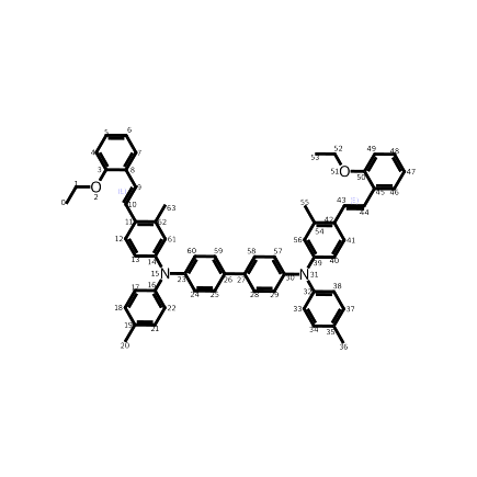 CCOc1ccccc1/C=C/c1ccc(N(c2ccc(C)cc2)c2ccc(-c3ccc(N(c4ccc(C)cc4)c4ccc(/C=C/c5ccccc5OCC)c(C)c4)cc3)cc2)cc1C